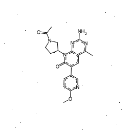 COc1ccc(-c2cc3c(C)nc(N)nc3n(C3CCN(C(C)=O)C3)c2=O)cn1